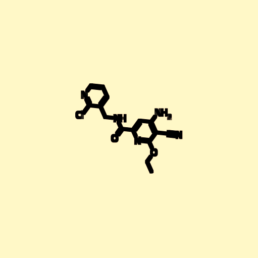 CCOc1nc(C(=O)NCc2cccnc2Cl)cc(N)c1C#N